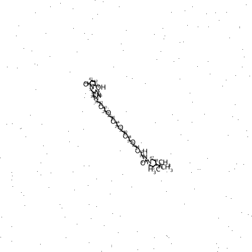 CC(C)(C)C1CCN(C(=O)NCCOCCOCCOCCOCCOCCOCCOCCn2cc(CN3C(=O)C=CC3O)nn2)CC1